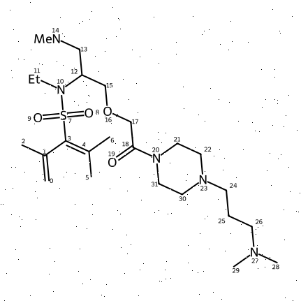 C=C(C)C(=C(C)C)S(=O)(=O)N(CC)C(CNC)COCC(=O)N1CCN(CCCN(C)C)CC1